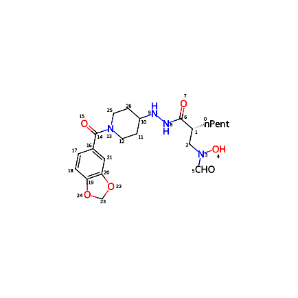 CCCCC[C@H](CN(O)C=O)C(=O)NNC1CCN(C(=O)c2ccc3c(c2)OCO3)CC1